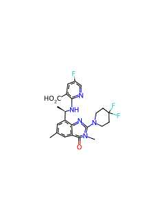 Cc1cc([C@@H](C)Nc2ncc(F)cc2C(=O)O)c2nc(N3CCC(F)(F)CC3)n(C)c(=O)c2c1